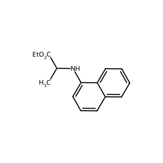 CCOC(=O)C(C)Nc1cccc2ccccc12